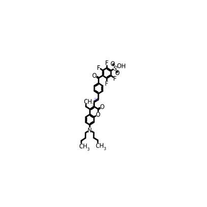 CCCCN(CCCC)c1ccc2c(CC)c(/C=C/c3ccc(C(=O)c4c(F)c(F)c(S(=O)(=O)O)c(F)c4F)cc3)c(=O)oc2c1